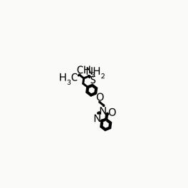 CC(C)C(Cc1ccc(OCCn2cnc3ccccc3c2=O)cc1)C(N)=S